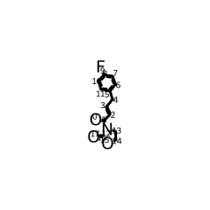 O=C(/C=C/Cc1ccc(F)cc1)N1CCOC1=O